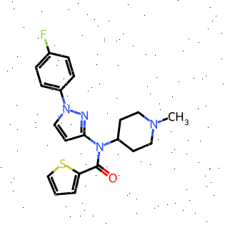 CN1CCC(N(C(=O)c2cccs2)c2ccn(-c3ccc(F)cc3)n2)CC1